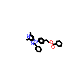 Cc1cc2c(nc(C3CCCCC3)n2-c2ccc(CCOC(=O)C3CCCCC3)cc2)c(C)n1